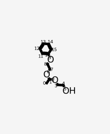 CC(OCCO)OCCOc1ccccc1